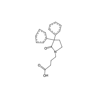 O=C(O)CCCN1CCC(c2ccccc2)(c2ccccc2)C1=O